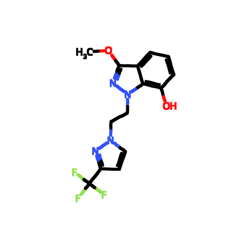 COc1nn(CCn2ccc(C(F)(F)F)n2)c2c(O)cccc12